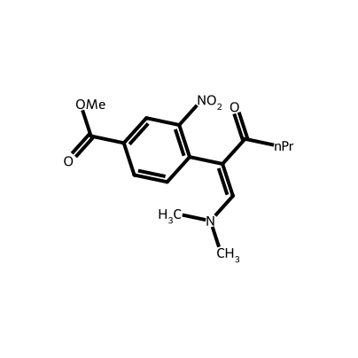 CCCC(=O)/C(=C/N(C)C)c1ccc(C(=O)OC)cc1[N+](=O)[O-]